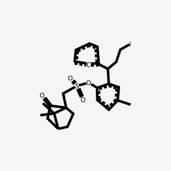 Cc1ccc(OS(=O)(=O)CC23CCC(CC2=O)C3(C)C)c(C(CCI)c2ccccc2)c1